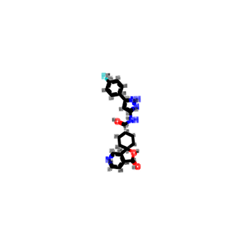 O=C1O[C@]2(CC[C@@H](C(=O)Nc3cc(-c4ccc(F)cc4)[nH]n3)CC2)c2cnccc21